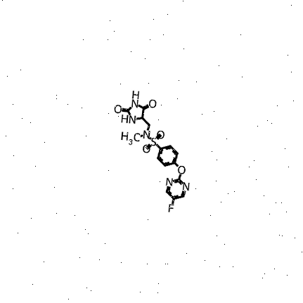 CN(CC1NC(=O)NC1=O)S(=O)(=O)c1ccc(Oc2ncc(F)cn2)cc1